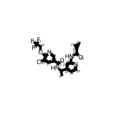 CC(NC(=O)c1cnc(OCC(F)(F)F)c(Cl)c1)c1ccnc(NC(=O)C2CC2)c1